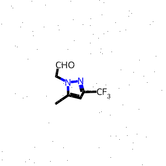 Cc1cc(C(F)(F)F)nn1CC=O